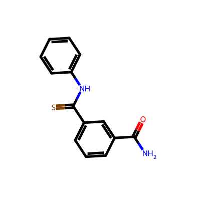 NC(=O)c1cccc(C(=S)Nc2ccccc2)c1